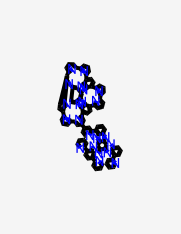 c1ccc(-c2cccc3nc4c5nc6cccc(-c7cc(-c8cc9nc(c8)c8ccc%10c%11cccc(n%11)c%11cccc(n%11)c%11ccc%12c%13cccc(n%13)c%13cccc(n%13)c%13ccc(c%14cccc9n%14)c9nc%14c(nc%139)c9nc%12c%11nc9c9nc%10c8nc%149)ccn7)c6nc5c5nc6c(-c7ccccn7)ccc(-c7ccccn7)c6nc5c4nc23)nc1